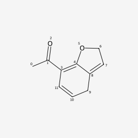 CC(=O)C1=C2OCC=C2CC=C1